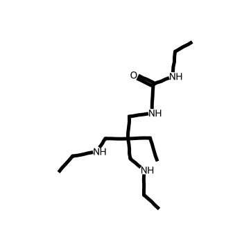 CCNCC(CC)(CNCC)CNC(=O)NCC